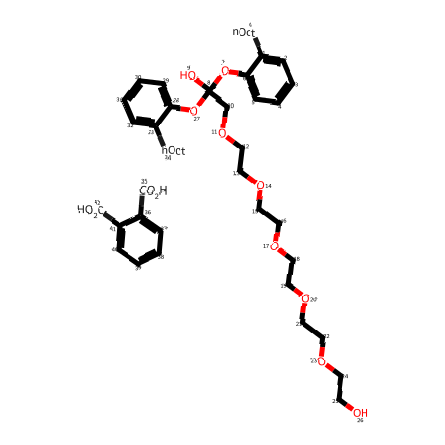 CCCCCCCCc1ccccc1OC(O)(COCCOCCOCCOCCOCCO)Oc1ccccc1CCCCCCCC.O=C(O)c1ccccc1C(=O)O